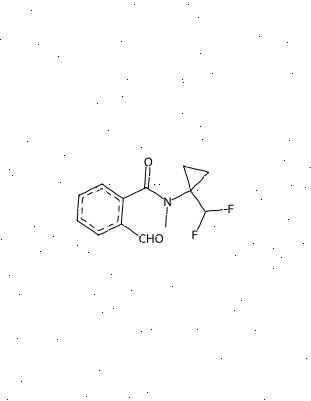 CN(C(=O)c1ccccc1C=O)C1(C(F)F)CC1